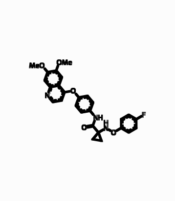 COc1cc2nccc(Oc3ccc(NC(=O)C4(NOc5ccc(F)cc5)CC4)cc3)c2cc1OC